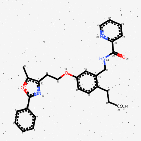 Cc1oc(-c2ccccc2)nc1CCOc1ccc(CCC(=O)O)c(CNC(=O)c2ccccn2)c1